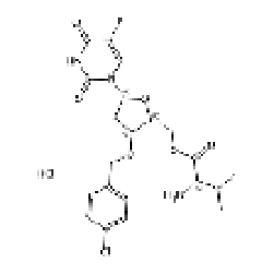 CC(C)[C@H](N)C(=O)OC[C@H]1O[C@@H](n2cc(F)c(=O)[nH]c2=O)C[C@@H]1OCc1ccc(Cl)cc1.Cl